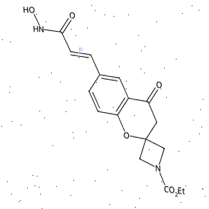 CCOC(=O)N1CC2(CC(=O)c3cc(/C=C/C(=O)NO)ccc3O2)C1